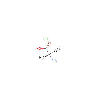 C#C[C@](C)(N)C(=O)O.Cl